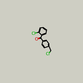 O=C(c1ccc(CCl)cc1)c1ccccc1Cl